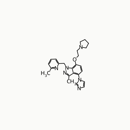 Cc1cccc(Cn2nc(C)c3c(-n4ccnc4)ccc(OCCN4CCCC4)c32)n1